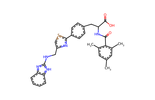 Cc1cc(C)c(C(=O)NC(Cc2ccc(-c3nc(CNc4nc5ccccc5[nH]4)cs3)cc2)C(=O)O)c(C)c1